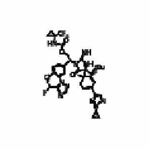 CC(C)(C)C[C@]1(C2(C)CC=C(c3cnn(C4CC4)n3)C=C2F)NC(=N)N([C@H](COC(=O)NC2(C(F)(F)F)CC2)c2ccc(Cl)c(-n3ncnc3C(F)F)c2)C1=O